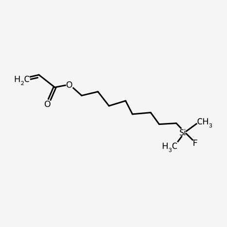 C=CC(=O)OCCCCCCCC[Si](C)(C)F